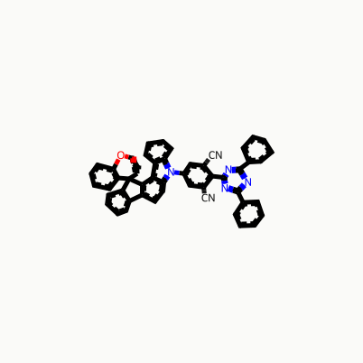 N#Cc1cc(-n2c3ccccc3c3c4c(ccc32)-c2ccccc2C42c3ccccc3Oc3ccccc32)cc(C#N)c1-c1nc(-c2ccccc2)nc(-c2ccccc2)n1